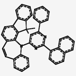 CC1(C)c2ccccc2-c2ccc3c(c21)N(c1cc(-c2ccccc2)nc(-c2cccc4ccccc24)n1)c1ccccc1C=C3